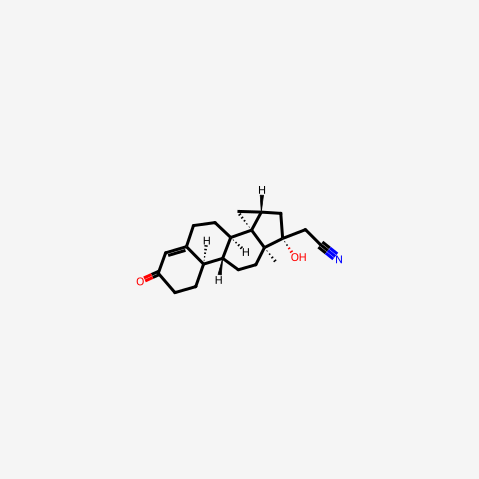 C[C@]12CC[C@H]3[C@@H](CCC4=CC(=O)CC[C@@H]43)[C@]13C[C@@H]3C[C@@]2(O)CC#N